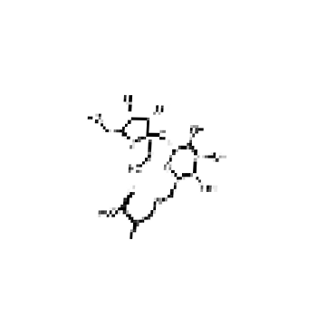 CC(=O)OC(=O)C(C)COC[C@H]1O[C@H](O[C@]2(CO)O[C@H](CO)[C@@H](O)[C@@H]2O)[C@H](O)[C@@H](O)[C@@H]1O